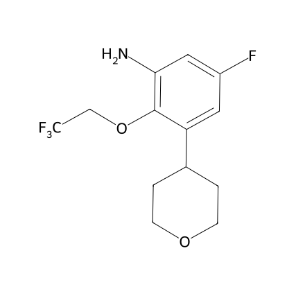 Nc1cc(F)cc(C2CCOCC2)c1OCC(F)(F)F